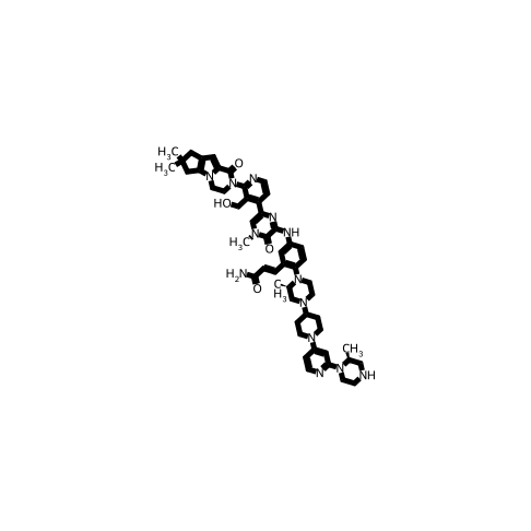 C[C@H]1CNCCN1c1cc(N2CCC(N3CCN(c4ccc(Nc5nc(-c6ccnc(N7CCn8c(cc9c8CC(C)(C)C9)C7=O)c6CO)cn(C)c5=O)cc4C=CC(N)=O)[C@@H](C)C3)CC2)ccn1